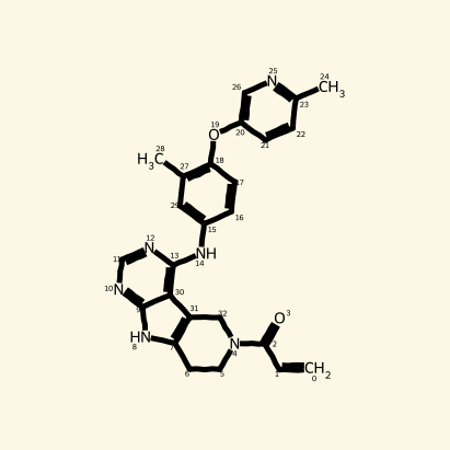 C=CC(=O)N1CCc2[nH]c3ncnc(Nc4ccc(Oc5ccc(C)nc5)c(C)c4)c3c2C1